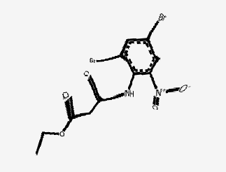 CCOC(=O)CC(=O)Nc1c(Br)cc(Br)cc1[N+](=O)[O-]